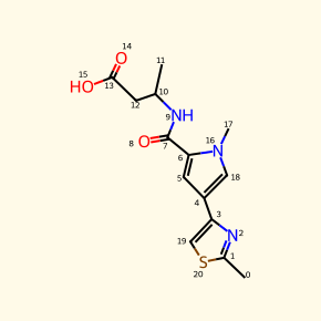 Cc1nc(-c2cc(C(=O)NC(C)CC(=O)O)n(C)c2)cs1